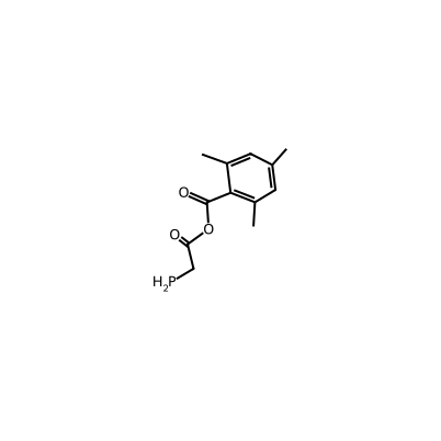 Cc1cc(C)c(C(=O)OC(=O)CP)c(C)c1